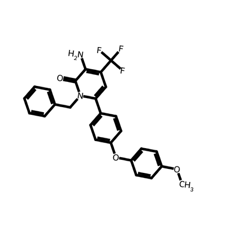 COc1ccc(Oc2ccc(-c3cc(C(F)(F)F)c(N)c(=O)n3Cc3ccccc3)cc2)cc1